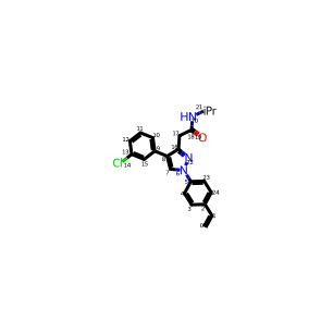 C=Cc1ccc(-n2cc(-c3cccc(Cl)c3)c(CC(=O)NC(C)C)n2)cc1